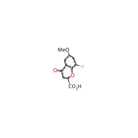 COc1cc(F)c2oc(C(=O)O)cc(=O)c2c1